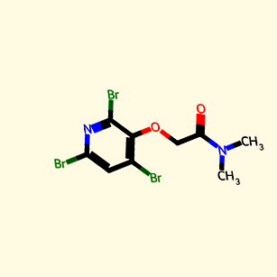 CN(C)C(=O)COc1c(Br)cc(Br)nc1Br